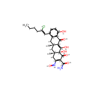 CCCC/C(Cl)=C/c1ccc(O)c2c1C[C@H]1C[C@H]3CC(N=O)=C(C(N)=O)C(=O)[C@@]3(O)C(O)=C1C2=O